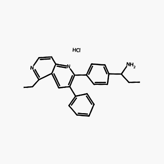 CCc1nccc2nc(-c3ccc(C(N)CC)cc3)c(-c3ccccc3)cc12.Cl